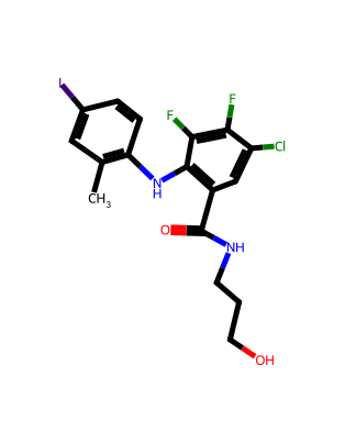 Cc1cc(I)ccc1Nc1c(C(=O)NCCCO)cc(Cl)c(F)c1F